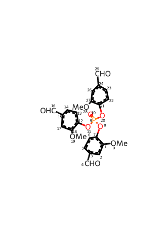 COc1cc(C=O)ccc1OP(=O)(Oc1ccc(C=O)cc1OC)Oc1ccc(C=O)cc1OC